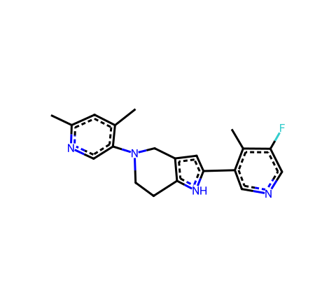 Cc1cc(C)c(N2CCc3[nH]c(-c4cncc(F)c4C)cc3C2)cn1